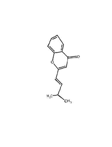 CC(C)/C=C/c1cc(=O)c2ccccc2o1